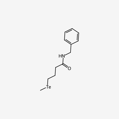 C[Te]CCCC(=O)NCc1ccccc1